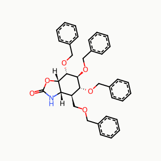 O=C1N[C@H]2[C@H](COCc3ccccc3)[C@@H](OCc3ccccc3)[C@H](OCc3ccccc3)[C@@H](OCc3ccccc3)[C@H]2O1